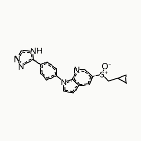 [O-][S+](CC1CC1)c1cnc2c(ccn2-c2ccc(-c3nnc[nH]3)cc2)c1